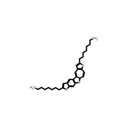 CCCCCCCCc1cc2c(s1)C=CC1Sc3cc4sc(CCCCCCCC)cc4cc3C1=C2